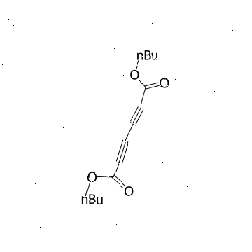 CCCCOC(=O)C#CC#CC(=O)OCCCC